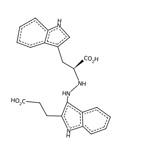 O=C(O)CCc1[nH]c2ccccc2c1NN[C@@H](Cc1c[nH]c2ccccc12)C(=O)O